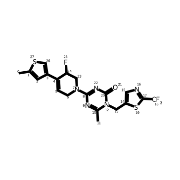 Cc1cc(C2=CCN(c3nc(C)n(Cc4cnc(C(F)(F)F)s4)c(=O)n3)CC2F)cs1